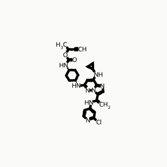 C#CC(C)OC(=O)N[C@H]1CC[C@H](Nc2cc(NC3CC3)c3ncc(C(=C)Nc4ccnc(Cl)c4)n3n2)CC1